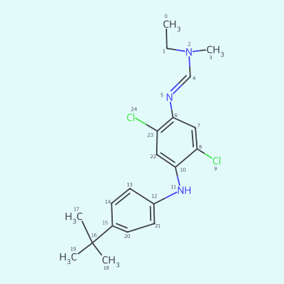 CCN(C)C=Nc1cc(Cl)c(Nc2ccc(C(C)(C)C)cc2)cc1Cl